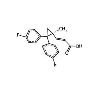 C[C@@]1(C=CC(=O)O)CC1(c1ccc(F)cc1)c1ccc(F)cc1